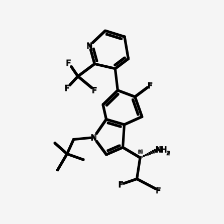 CC(C)(C)Cn1cc([C@H](N)C(F)F)c2cc(F)c(-c3cccnc3C(F)(F)F)cc21